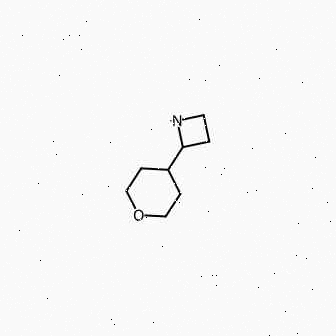 C1CC(C2CCOCC2)[N]1